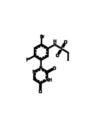 CCS(=O)(=O)Nc1cc(-n2ncc(=O)[nH]c2=O)c(F)cc1Br